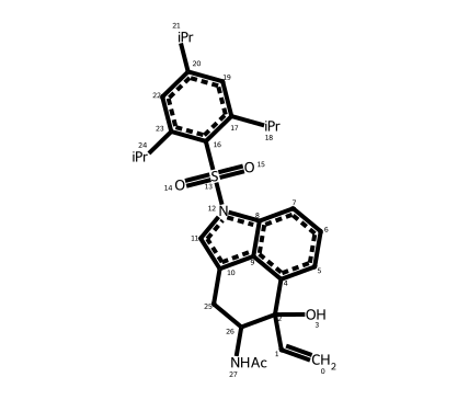 C=CC1(O)c2cccc3c2c(cn3S(=O)(=O)c2c(C(C)C)cc(C(C)C)cc2C(C)C)CC1NC(C)=O